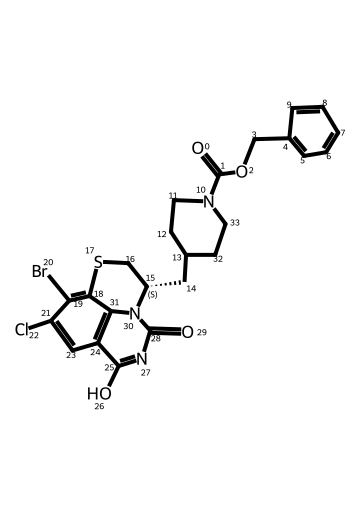 O=C(OCc1ccccc1)N1CCC(C[C@H]2CSc3c(Br)c(Cl)cc4c(O)nc(=O)n2c34)CC1